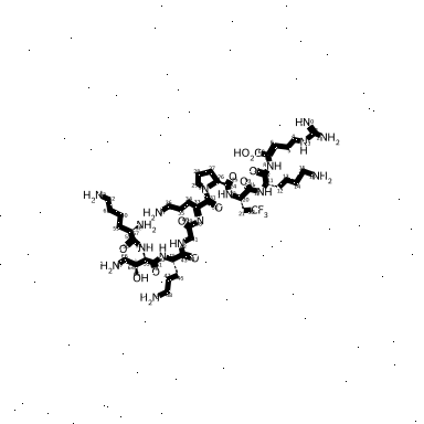 N=C(N)NCC/C=C(\NC(=O)[C@H](CCCCN)NC(=O)[C@H](CC(F)(F)F)NC(=O)[C@@H]1CCCN1C(=O)/C(CCCN)=N/C(=O)CNC(=O)[C@H](CCCN)NC(=O)[C@@H](NC(=O)[C@@H](N)CCCCN)[C@@H](O)CN)C(=O)O